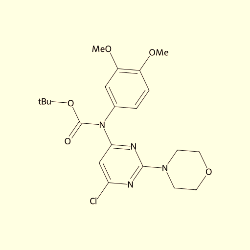 COc1ccc(N(C(=O)OC(C)(C)C)c2cc(Cl)nc(N3CCOCC3)n2)cc1OC